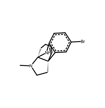 CN1CC[C@@]23C=CCC[C@@]12Nc1ccc(Br)cc13